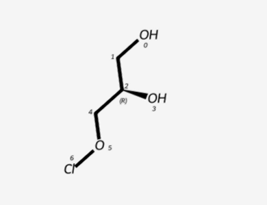 OC[C@@H](O)COCl